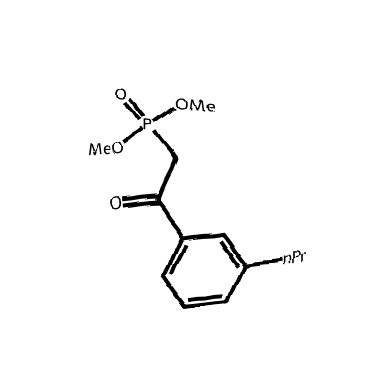 CCCc1cccc(C(=O)CP(=O)(OC)OC)c1